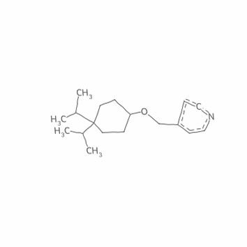 CC(C)C1(C(C)C)CCC(OCc2ccncc2)CC1